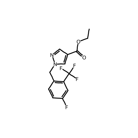 CCOC(=O)c1cnn(Cc2ccc(F)cc2C(F)(F)F)c1